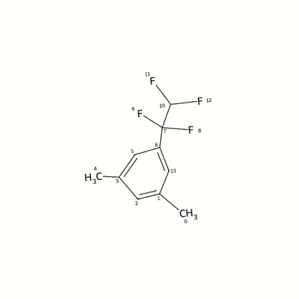 Cc1cc(C)cc(C(F)(F)C(F)F)c1